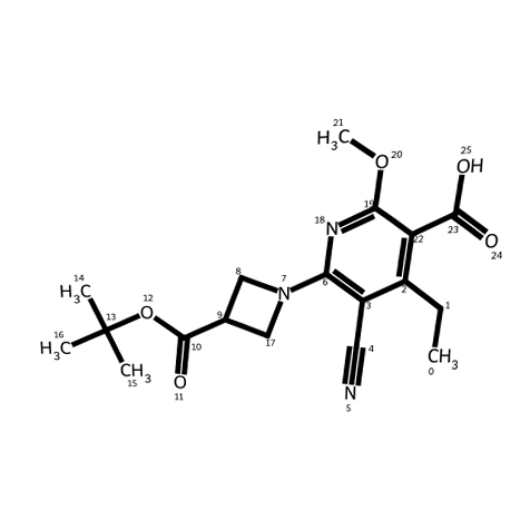 CCc1c(C#N)c(N2CC(C(=O)OC(C)(C)C)C2)nc(OC)c1C(=O)O